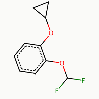 FC(F)Oc1[c]cccc1OC1CC1